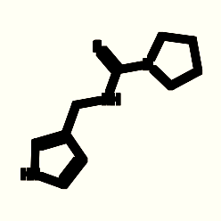 S=C(NCc1cc[nH]c1)N1CCCC1